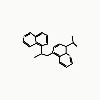 CC(CC1=C2C=CC=NC2C(C(C)C)C=C1)c1cccc2cnccc12